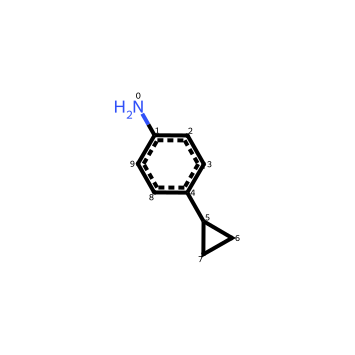 Nc1c[c]c(C2CC2)cc1